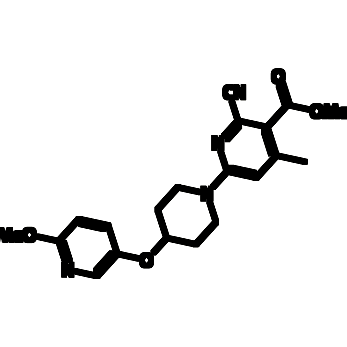 COC(=O)c1c(C)cc(N2CCC(Oc3ccc(OC)nc3)CC2)nc1C#N